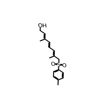 CC(/C=C/C=C(\C)CS(=O)(=O)c1ccc(C)cc1)=C\CO